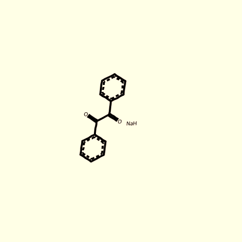 O=C(C(=O)c1ccccc1)c1ccccc1.[NaH]